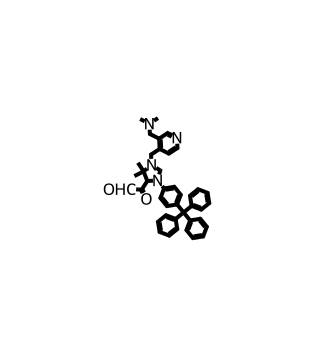 CN(C)Cc1cnccc1CN1CN(c2ccc(C(c3ccccc3)(c3ccccc3)c3ccccc3)cc2)C(C(=O)C=O)C1(C)C